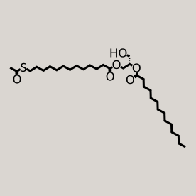 CCCCCCCCCCCCCC(=O)O[C@@H](CO)COC(=O)CCCCCCCCCCCCSC(C)=O